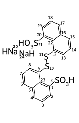 O=S(=O)(O)c1cccc2cccc(SSc3cccc4cccc(S(=O)(=O)O)c34)c12.[NaH].[NaH]